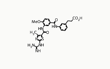 COc1ccc(C(=O)Nc2cccc(CCC(=O)O)c2)cc1NC(=O)c1sc(NC(=N)N)nc1C